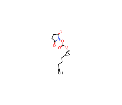 C#CCCCC1C[C@H]1OC(=O)ON1C(=O)CCC1=O